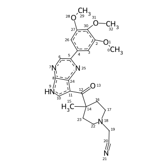 COc1cc(-c2cnc3[nH]cc(C(=O)C4(C)CCN(CC#N)CC4)c3n2)cc(OC)c1OC